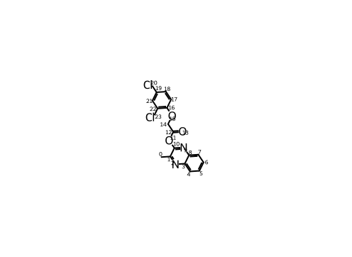 Cc1nc2ccccc2nc1OC(=O)COc1ccc(Cl)cc1Cl